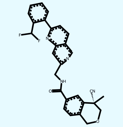 C[C@@]1(C#N)COCc2ccc(C(=O)NCc3cc4nc(-c5ccccc5C(F)F)ccc4cn3)cc21